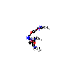 CCc1ccc(-c2ccc(/C=C/c3ccc(OCCCCn4cc(CN(C)C(=O)c5ccccc5-c5c6ccc(=[N+](CC)CC)cc-6oc6cc(N(CC)CC)ccc56)nn4)cc3)cn2)nc1